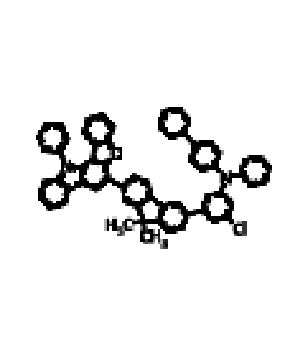 CC1(C)c2ccc(-c3cc(Cl)cc(N(c4ccccc4)c4ccc(-c5ccccc5)cc4)c3)cc2-c2ccc(-c3cc4c5ccccc5n(-c5ccccc5)c4c4c3oc3ccccc34)cc21